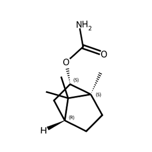 CC1(C)[C@@H]2CC[C@]1(C)[C@@H](OC(N)=O)C2